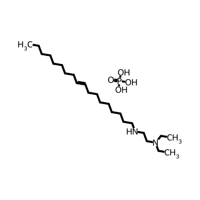 CCCCCCCCC=CCCCCCCCCNCCN(CC)CC.O=P(O)(O)O